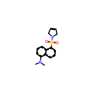 CN(C)c1cccc2c(S(=O)(=O)N3CC=CC3)cccc12